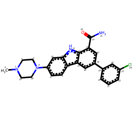 CN1CCN(c2ccc3c(c2)[nH]c2c(C(N)=O)cc(-c4cccc(Cl)c4)cc23)CC1